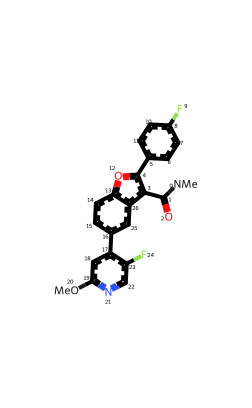 CNC(=O)c1c(-c2ccc(F)cc2)oc2ccc(-c3cc(OC)ncc3F)cc12